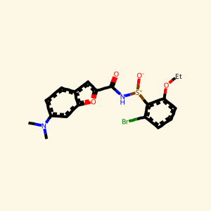 CCOc1cccc(Br)c1[S+]([O-])NC(=O)c1cc2ccc(N(C)C)cc2o1